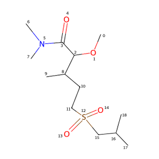 COC(C(=O)N(C)C)C(C)CCS(=O)(=O)CC(C)C